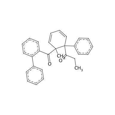 CCC(=O)C1(c2ccccc2)C=CC=CC1(C)C(=O)c1ccccc1-c1ccccc1